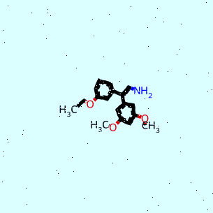 CCOc1cccc(C(=CN)c2cc(OC)cc(OC)c2)c1